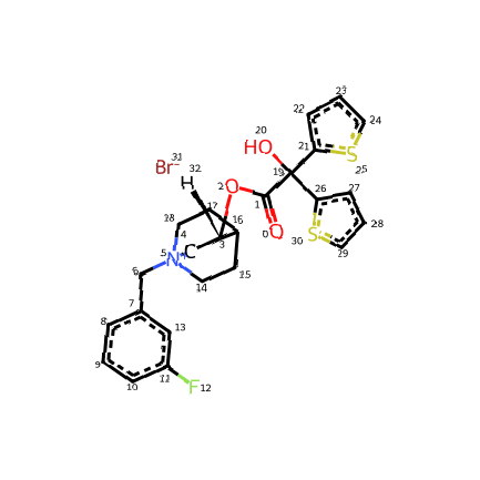 O=C(O[C@H]1C[N+]2(Cc3cccc(F)c3)CCC1CC2)C(O)(c1cccs1)c1cccs1.[Br-]